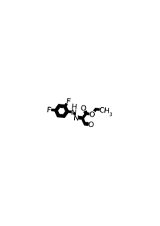 CCOC(=O)C(C=O)=NNc1ccc(F)cc1F